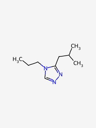 CCCn1cnnc1CC(C)C